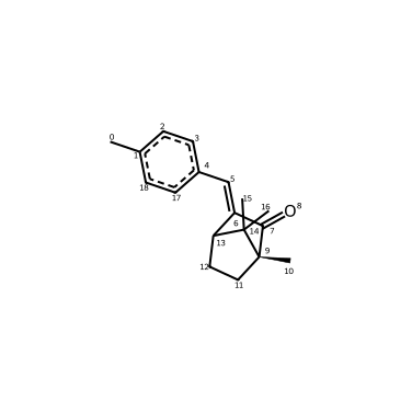 Cc1ccc(C=C2C(=O)[C@]3(C)CCC2C3(C)C)cc1